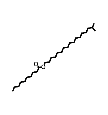 CCCCCCCCCC(=O)OCCCCCCCCCCCCCCCC(C)C